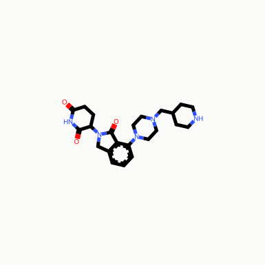 O=C1CCC(N2Cc3cccc(N4CCN(CC5CCNCC5)CC4)c3C2=O)C(=O)N1